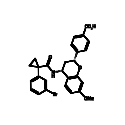 COc1ccc2c(c1)O[C@@H](c1ccc(C(=O)O)cc1)C[C@H]2NC(=O)C1(c2cccc(Br)c2)CC1